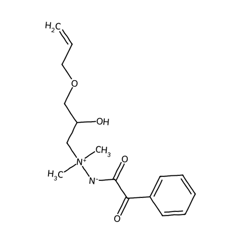 C=CCOCC(O)C[N+](C)(C)[N-]C(=O)C(=O)c1ccccc1